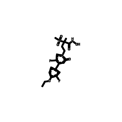 CCOc1ccc(-c2cc(=O)n(CCC(C)(C(=O)NO)S(C)(=O)=O)cc2F)cc1F